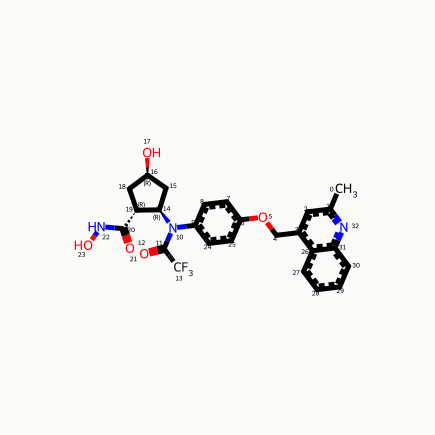 Cc1cc(COc2ccc(N(C(=O)C(F)(F)F)[C@@H]3C[C@H](O)C[C@H]3C(=O)NO)cc2)c2ccccc2n1